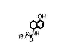 CC(C)(C)OC(=O)NC1CCCc2c(O)cccc21